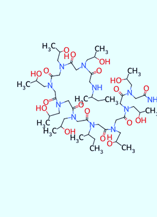 CCC(C)NCC(=O)N(CC(=O)N(CC(=O)N(CC(=O)N(CC(=O)N(CC(=O)N(CC(=O)N(CC(=O)N(CC(=O)N(CC(N)=O)CC(C)O)CC(C)O)CC(C)O)C(C)CC)CC(C)O)CC(C)O)CC(C)O)CC(C)O)CC(C)O